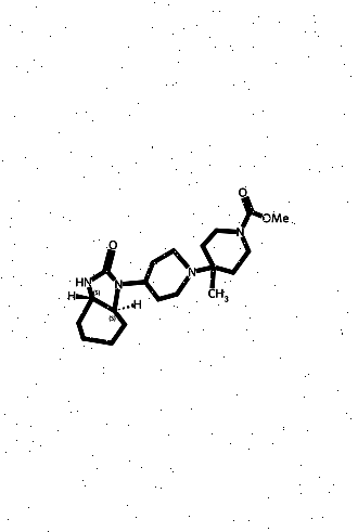 COC(=O)N1CCC(C)(N2CCC(N3C(=O)N[C@H]4CCCC[C@@H]43)CC2)CC1